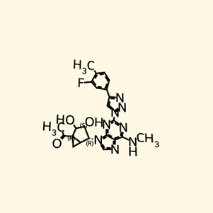 CNc1nc(-n2cc(-c3ccc(C)c(F)c3)nn2)nc2c1ncn2[C@@H]1C2C[C@]2(C(C)=O)C(O)[C@H]1O